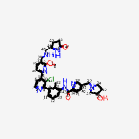 COc1nc(-c2ccnc(-c3cccc(NC(=O)c4ccc(CN5CC[C@H](O)C5)cn4)c3C)c2Cl)ccc1CNC[C@H]1CCC(=O)N1